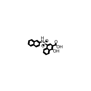 O=C(O)c1cc(S(=O)(=O)Nc2ccc3ccccc3c2)c2ccccc2c1O